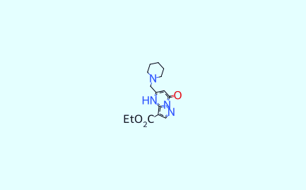 CCOC(=O)c1cnn2c(=O)cc(CN3CCCCC3)[nH]c12